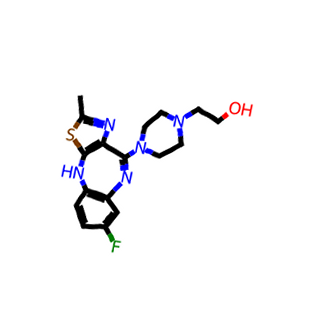 Cc1nc2c(s1)Nc1ccc(F)cc1N=C2N1CCN(CCO)CC1